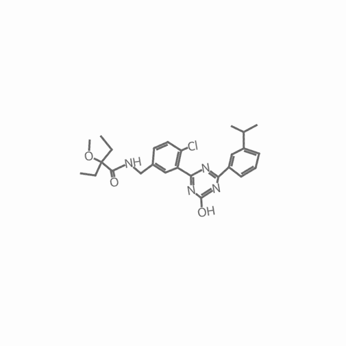 CCC(CC)(OC)C(=O)NCc1ccc(Cl)c(-c2nc(O)nc(-c3cccc(C(C)C)c3)n2)c1